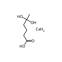 CC(O)(O)CCCC(=O)O.[CaH2]